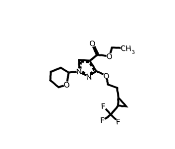 CCOC(=O)c1cn(C2CCCCO2)nc1OCCC1CC1C(F)(F)F